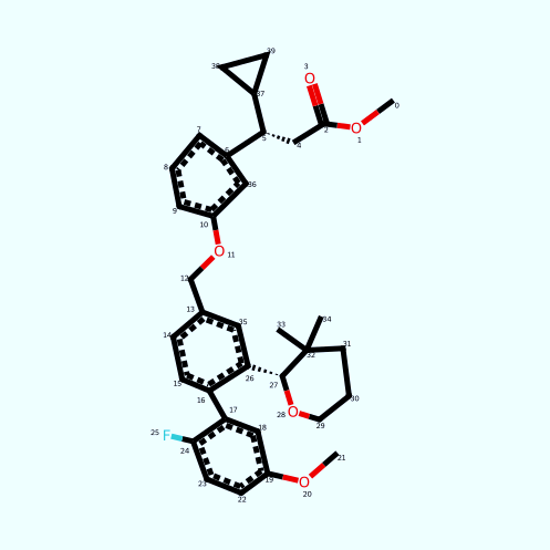 COC(=O)C[C@H](c1cccc(OCc2ccc(-c3cc(OC)ccc3F)c([C@H]3OCCCC3(C)C)c2)c1)C1CC1